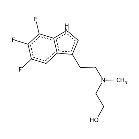 CN(CCO)CCc1c[nH]c2c(F)c(F)c(F)cc12